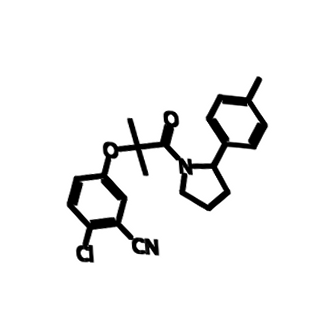 Cc1ccc(C2CCCN2C(=O)C(C)(C)Oc2ccc(Cl)c(C#N)c2)cc1